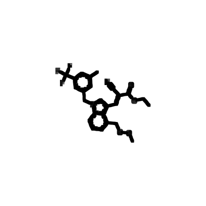 CCOC(=O)/C(C#N)=C/c1cn(Cc2cc(C)cc(C(F)(F)F)c2)c2cccc(COOC)c12